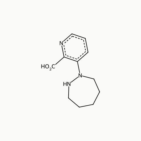 O=C(O)c1ncccc1N1CCCCCN1